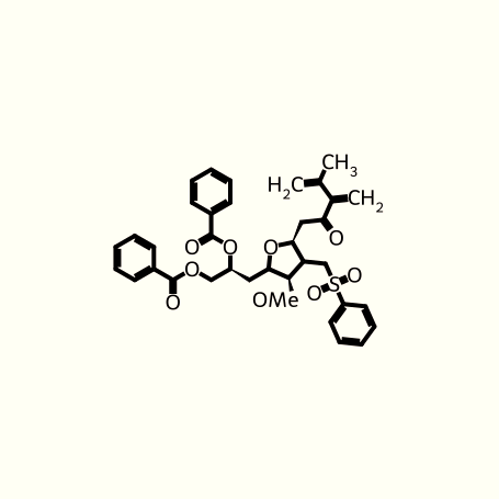 C=C(C)C(=C)C(=O)C[C@@H]1OC(C[C@@H](COC(=O)c2ccccc2)OC(=O)c2ccccc2)[C@H](OC)C1CS(=O)(=O)c1ccccc1